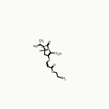 C[C@@H](O)[C@H]1C(=O)N2C(C(=O)O)=C(S/C=C\C(=O)OCCN)C[C@H]12